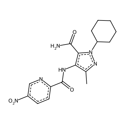 Cc1nn(C2CCCCC2)c(C(N)=O)c1NC(=O)c1ccc([N+](=O)[O-])cn1